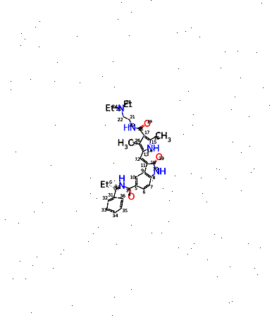 CC[C@H](NC(=O)c1ccc2c(c1)C(=Cc1[nH]c(C)c(C(=O)NCCN(CC)CC)c1C)C(=O)N2)c1ccccc1